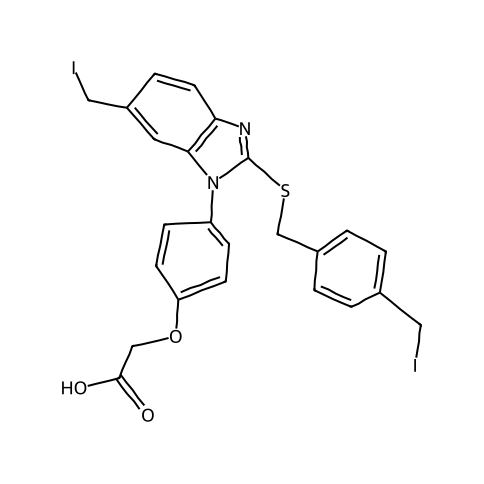 O=C(O)COc1ccc(-n2c(SCc3ccc(CI)cc3)nc3ccc(CI)cc32)cc1